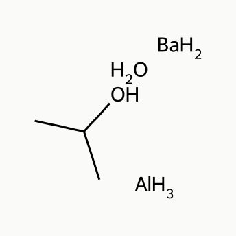 CC(C)O.O.[AlH3].[BaH2]